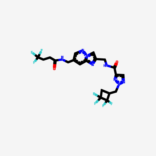 O=C(CCC(F)(F)F)NCc1cnn2cc(CNC(=O)c3cnn(CC4CC(F)(F)C4(F)F)n3)nc2c1